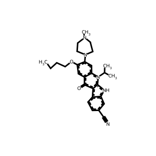 CCCCOc1cc2c(=O)c3c4ccc(C#N)cc4[nH]c3n(C(C)C)c2cc1N1CCN(C)CC1